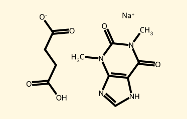 Cn1c(=O)c2[nH]cnc2n(C)c1=O.O=C([O-])CCC(=O)O.[Na+]